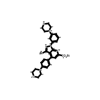 CCOC(=O)c1cc(-c2ccc(N3CCOCC3)cc2)c2c(C(C)C)nn(-c3cccc(N4CCOCC4)c3)c2n1